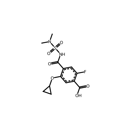 CN(C)S(=O)(=O)NC(=O)c1cc(F)c(C(=O)O)cc1OC1CC1